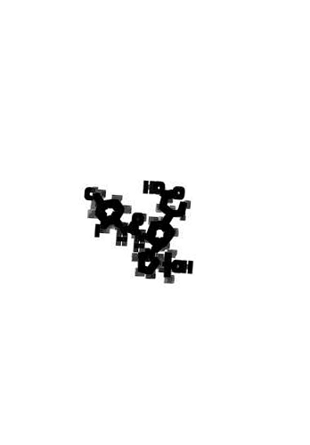 CCC(CC(=O)O)c1ccc(N2CCC[C@H]2C(C)(C)O)c(NC(=O)Nc2ccc(Cl)cc2F)c1